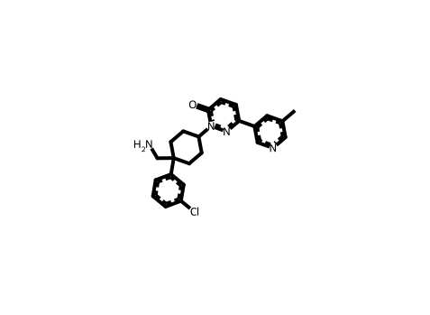 Cc1cncc(-c2ccc(=O)n(C3CCC(CN)(c4cccc(Cl)c4)CC3)n2)c1